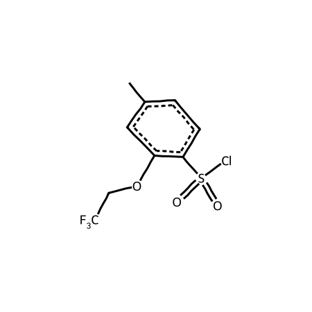 Cc1ccc(S(=O)(=O)Cl)c(OCC(F)(F)F)c1